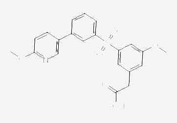 COc1cc(CC(=O)O)cc(S(=O)(=O)c2cccc(-c3ccc(OC)nc3)c2)c1